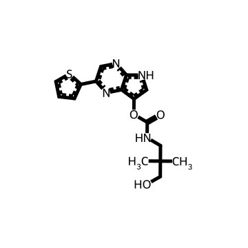 CC(C)(CO)CNC(=O)Oc1c[nH]c2ncc(-c3cccs3)nc12